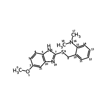 COc1ccc2[nH]c(SCc3ccccc3N(C)C)nc2c1